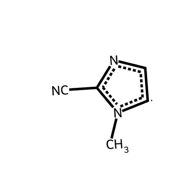 Cn1[c]cnc1C#N